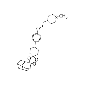 C=S1CCC(CCOc2ccc([C@H]3CC[C@]4(CC3)OO[C@]3(O4)C4CC5CC(C4)CC3C5)cc2)CC1